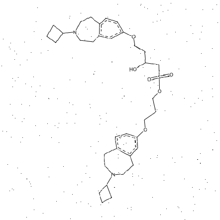 O=S(=O)(CC(O)CCOc1ccc2c(c1)CCN(C1CCC1)CC2)OCCCOc1ccc2c(c1)CCN(C1CCC1)CC2